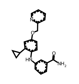 NC(=O)c1cccc(Nc2ccc(OCc3ccccn3)cc2C2CC2)c1